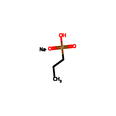 CCCS(=O)(=O)O.[Na]